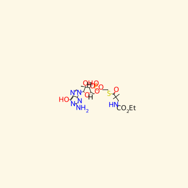 CCOC(=O)NCC(C)(C)C(=O)SCCO[P@]1(=O)OC[C@H]2O[C@@H](n3cnc4c(O)nc(N)nc43)[C@](C)(O)[C@@H]2O1